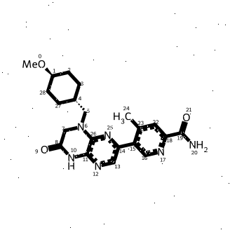 CO[C@H]1CC[C@H](CN2CC(=O)Nc3ncc(-c4cnc(C(N)=O)cc4C)nc32)CC1